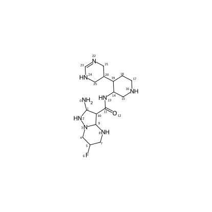 NC1NN2CC(F)CNC2C1C(=O)NC1CNCCC1C1CN=CNC1